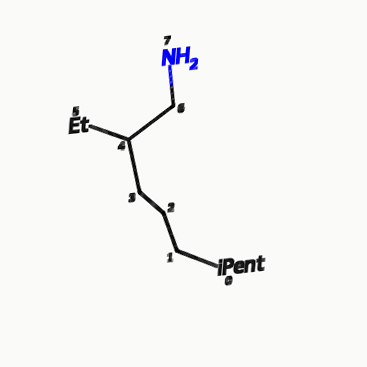 CCCC(C)CCCC(CC)CN